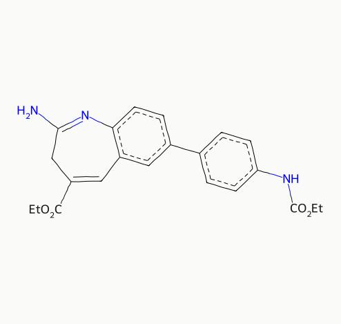 CCOC(=O)Nc1ccc(-c2ccc3c(c2)C=C(C(=O)OCC)CC(N)=N3)cc1